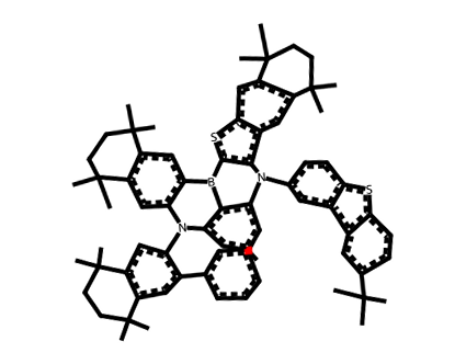 Cc1cc2c3c(c1)N(c1ccc4sc5ccc(C(C)(C)C)cc5c4c1)c1c(sc4cc5c(cc14)C(C)(C)CCC5(C)C)B3c1cc3c(cc1N2c1cc2c(cc1-c1ccccc1)C(C)(C)CCC2(C)C)C(C)(C)CCC3(C)C